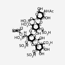 CC(=O)N[C@@H]1[C@@H](O)[C@H](O[C@@H]2O[C@H](C(=O)O)[C@@H](O[C@@H]3O[C@H](CO)[C@@H](O[C@H]4O[C@@H](C(=O)O)[C@H](O)[C@@H](O)[C@@H]4OS(=O)(=O)O)[C@H](OS(=O)(=O)O)[C@H]3NS(=O)(=O)O)[C@H](O)[C@H]2OS(=O)(=O)O)[C@H](COS(=O)(=O)O)O[C@H]1O.[Cl][Pr]([Cl])[Cl].[Nd+3]